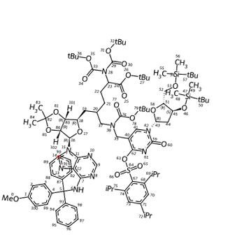 COc1ccc(C(Nc2ncnc3c2ncn3[C@@H]2O[C@H](CC(CCC(C(=O)OC(C)(C)C)N(C(=O)OC(C)(C)C)C(=O)OC(C)(C)C)CN(Cc3cn([C@H]4C[C@H](O[Si](C)(C)C(C)(C)C)[C@@H](CO[Si](C)(C)C(C)(C)C)O4)c(=O)nc3OS(=O)(=O)c3c(C(C)C)cc(C(C)C)cc3C(C)C)C(=O)OC(C)(C)C)[C@H]3OC(C)(C)O[C@H]32)(c2ccccc2)c2ccccc2)cc1